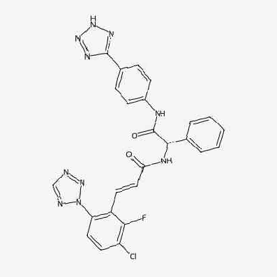 O=C(/C=C/c1c(-n2ncnn2)ccc(Cl)c1F)NC(C(=O)Nc1ccc(-c2nn[nH]n2)cc1)c1ccccc1